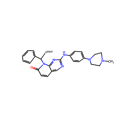 CCCCCCC(c1ccccc1)n1c(=O)ccc2cnc(Nc3ccc(N4CCN(C)CC4)cc3)nc21